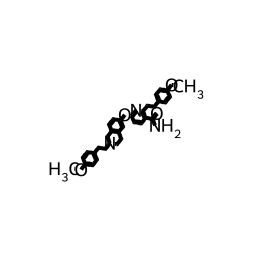 COc1ccc(CCc2nc(Oc3ccc4c(c3)CCN(CCc3ccc(OC)cc3)C4)ccc2C(N)=O)cc1